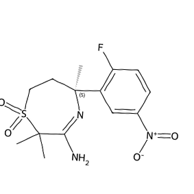 CC1(C)C(N)=N[C@](C)(c2cc([N+](=O)[O-])ccc2F)CCS1(=O)=O